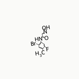 Cc1cc(Br)c(NC(=O)C=NO)cc1F